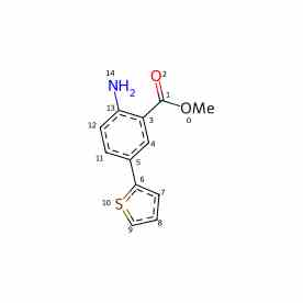 COC(=O)c1cc(-c2cccs2)ccc1N